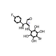 N=C(/C(C=O)=C\Nc1c(O)c(O)c(Br)c(O)c1O)c1ccc(F)cc1